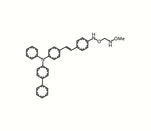 CONCONc1ccc(C=Cc2ccc(N(c3ccccc3)c3ccc(-c4ccccc4)cc3)cc2)cc1